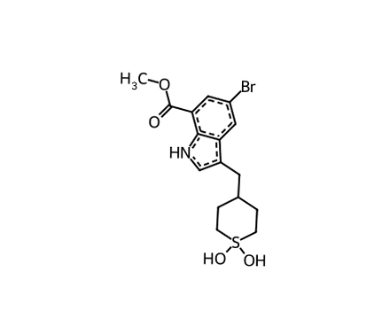 COC(=O)c1cc(Br)cc2c(CC3CCS(O)(O)CC3)c[nH]c12